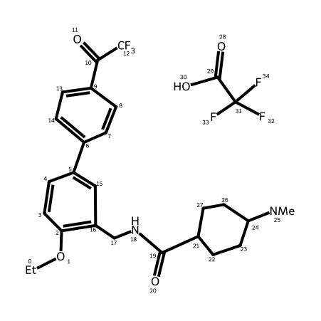 CCOc1ccc(-c2ccc(C(=O)C(F)(F)F)cc2)cc1CNC(=O)C1CCC(NC)CC1.O=C(O)C(F)(F)F